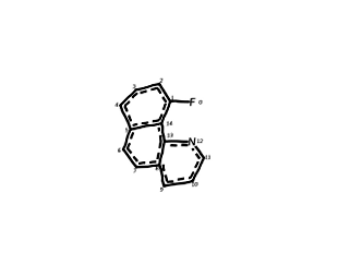 Fc1cccc2ccc3cccnc3c12